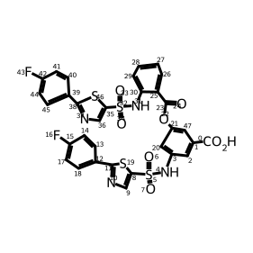 O=C(O)c1cc(NS(=O)(=O)c2cnc(-c3ccc(F)cc3)s2)cc(OC(=O)c2ccccc2NS(=O)(=O)c2cnc(-c3ccc(F)cc3)s2)c1